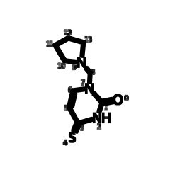 O=c1[nH]c(=S)ccn1CN1CCCC1